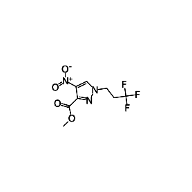 COC(=O)c1nn(CCC(F)(F)F)cc1[N+](=O)[O-]